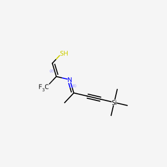 C/C(C#C[Si](C)(C)C)=N\C(=C/S)C(F)(F)F